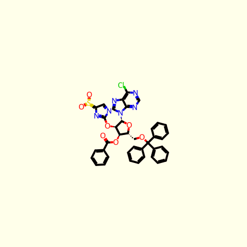 O=C(O[C@H]1[C@@H](OC2=NC(=S(=O)=O)C=N2)[C@H](n2cnc3c(Cl)ncnc32)O[C@@H]1COC(c1ccccc1)(c1ccccc1)c1ccccc1)c1ccccc1